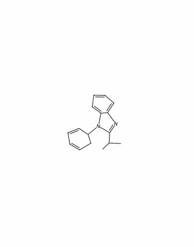 CC(C)c1nc2ccccc2n1C1C=CC=CC1